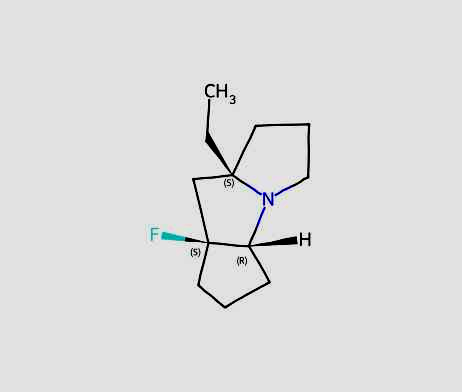 CC[C@@]12CCCN1[C@@H]1CCC[C@]1(F)C2